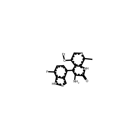 CCOc1cnc(C)c2[nH]c(=O)c(N)c(-c3ccc(F)c4[nH]ncc34)c12